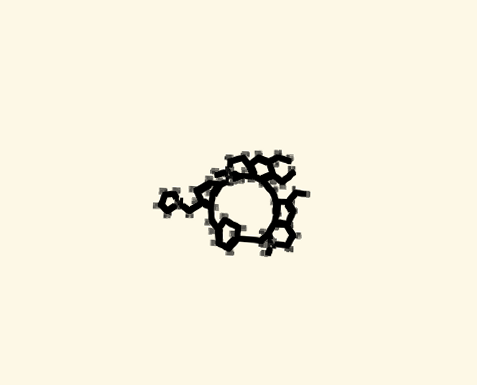 CCc1cc2c3cc1Cc1c(CC)c(CC)cc4c1C(Cc1ccc(CN5CCCC5)c(c1)CC1=CC=C(CC1)CC3N(C)CC2)N(C)CC4